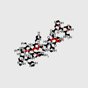 CC(C)C[C@H](NC(=O)[C@H](CC(C)C)NC(=O)[C@H](Cc1c[nH]cn1)NC(=O)[C@H](Cc1c[nH]cn1)NC(=O)[C@H](CC(C)C)NC(=O)[C@H](Cc1c[nH]cn1)NC(=O)[C@H](Cc1c[nH]cn1)NC(=O)[C@H](CC(C)C)NC(=O)[C@H](CC(C)C)NC(=O)[C@H](Cc1c[nH]cn1)NC(=O)[C@H](Cc1c[nH]cn1)NC(=O)[C@@H](N)CC(C)C)C(=O)N[C@@H](Cc1c[nH]cn1)C(=O)N[C@@H](Cc1c[nH]cn1)C(=O)N[C@@H](CCCCN)C(=O)N[C@@H](CCCCN)C(=O)O